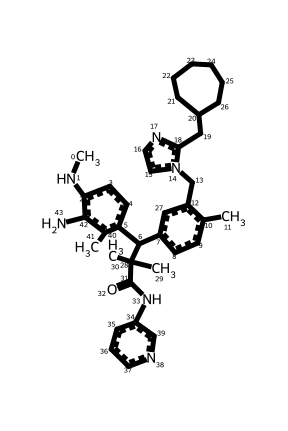 CNc1ccc(C(c2ccc(C)c(Cn3ccnc3CC3CCCCCC3)c2)C(C)(C)C(=O)Nc2cccnc2)c(C)c1N